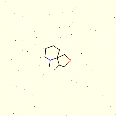 CC1COCC12CCCCN2C